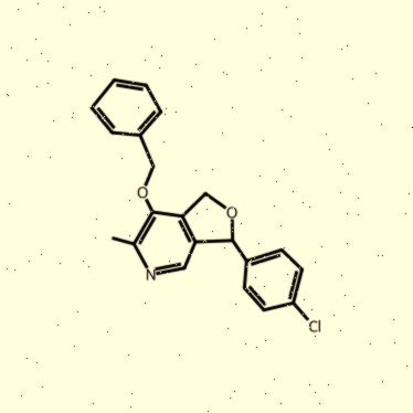 Cc1ncc2c(c1OCc1ccccc1)COC2c1ccc(Cl)cc1